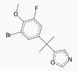 COc1c(F)cc(C(C)(C)c2cnco2)cc1Br